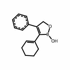 OB1OCC(c2ccccc2)=C1C1=CCCCC1